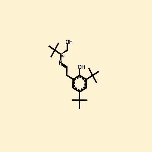 CC(C)(C)c1cc(CC=N[C@H](CO)C(C)(C)C)c(O)c(C(C)(C)C)c1